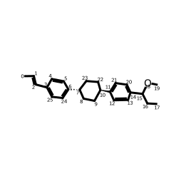 CC=Cc1ccc([C@H]2CC[C@H](c3ccc(C(CC)OC)cc3)CC2)cc1